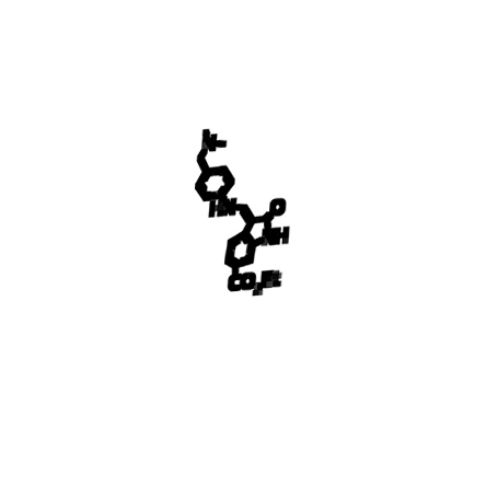 CCOC(=O)c1ccc2c(c1)NC(=O)/C2=C/Nc1ccc(CN(C)C)cc1